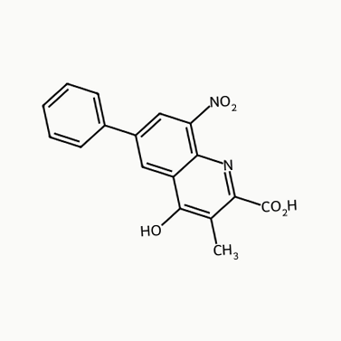 Cc1c(C(=O)O)nc2c([N+](=O)[O-])cc(-c3ccccc3)cc2c1O